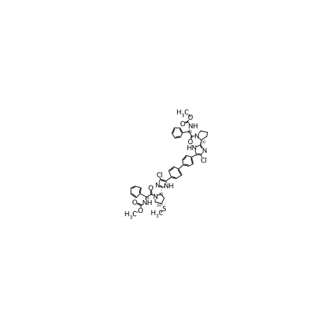 COC(=O)N[C@H](C(=O)N1CCC[C@H]1c1nc(Cl)c(-c2ccc(-c3ccc(-c4[nH]c([C@@H]5C[C@H](SC)CN5C(=O)[C@@H](NC(=O)OC)c5ccccc5)nc4Cl)cc3)cc2)[nH]1)c1ccccc1